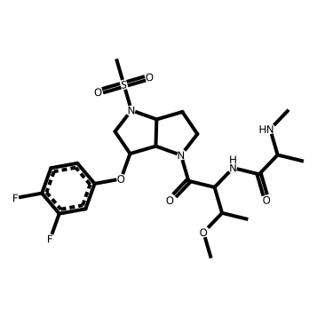 CNC(C)C(=O)NC(C(=O)N1CCC2C1C(Oc1ccc(F)c(F)c1)CN2S(C)(=O)=O)C(C)OC